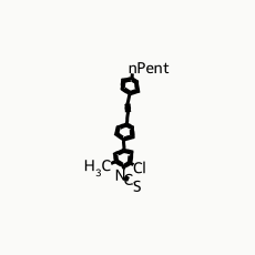 CCCCCc1ccc(C#Cc2ccc(-c3cc(C)c(N=C=S)c(Cl)c3)cc2)cc1